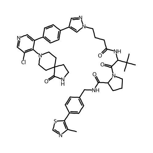 Cc1ncsc1-c1ccc(CNC(=O)C2CCCN2C(=O)C(NC(=O)CCCn2cc(-c3ccc(-c4cncc(Cl)c4N4CCC5(CCNC5=O)CC4)cc3)cn2)C(C)(C)C)cc1